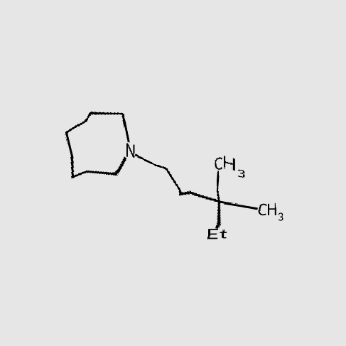 CCC(C)(C)CCN1CCCCC1